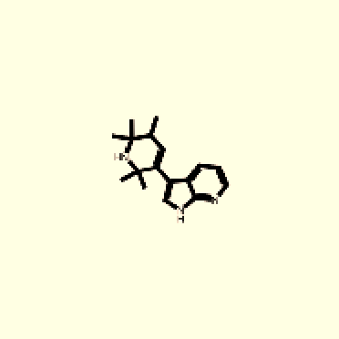 CC1C=C(c2c[nH]c3ncccc23)C(C)(C)NC1(C)C